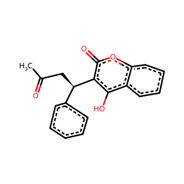 CC(=O)C[C@H](c1ccccc1)c1c(O)c2ccccc2oc1=O